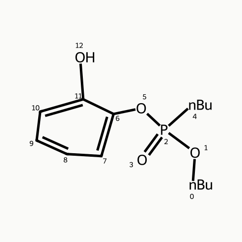 CCCCOP(=O)(CCCC)Oc1ccccc1O